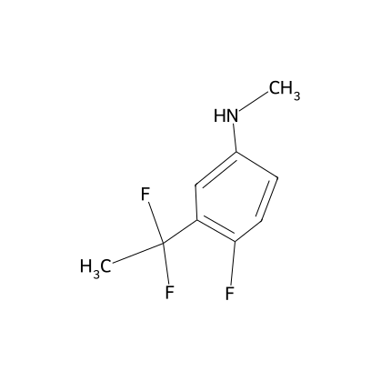 CNc1ccc(F)c(C(C)(F)F)c1